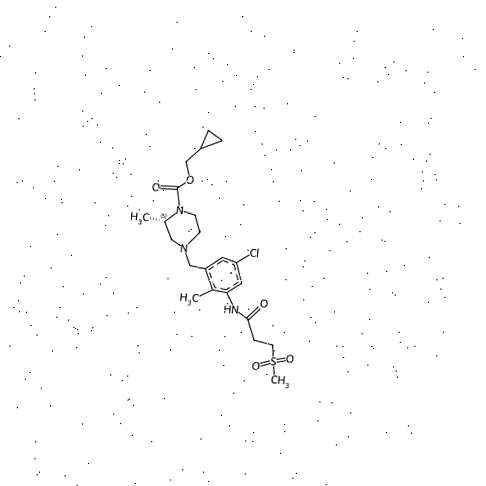 Cc1c(CN2CCN(C(=O)OCC3CC3)[C@@H](C)C2)cc(Cl)cc1NC(=O)CCS(C)(=O)=O